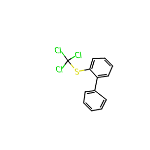 ClC(Cl)(Cl)Sc1ccccc1-c1ccccc1